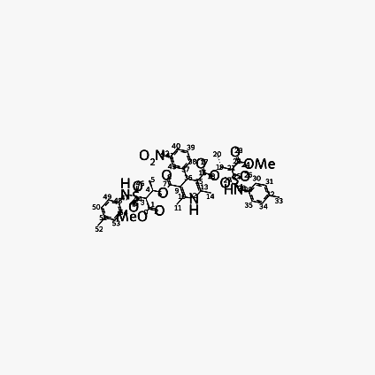 COC(=O)[C@H]([C@@H](C)OC(=O)C1=C(C)NC(C)=C(C(=O)O[C@H](C)[C@@H](C(=O)OC)S(=O)(=O)Nc2ccc(C)cc2)C1c1cccc([N+](=O)[O-])c1)S(=O)(=O)Nc1ccc(C)cc1